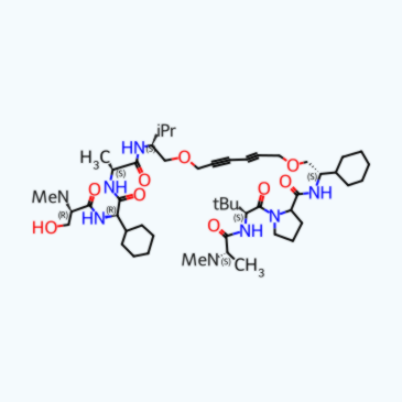 CN[C@@H](C)C(=O)N[C@H](C(=O)N1CCCC1C(=O)N[C@H](COCC#CC#CCOC[C@@H](NC(=O)[C@H](C)NC(=O)[C@H](NC(=O)[C@@H](CO)NC)C1CCCCC1)C(C)C)C1CCCCC1)C(C)(C)C